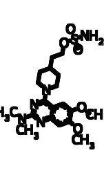 COc1cc2nc(N(C)C)nc(N3CCC(CCOS(N)(=O)=O)CC3)c2cc1OC